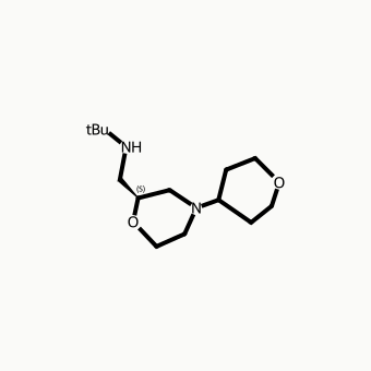 CC(C)(C)NC[C@H]1CN(C2CCOCC2)CCO1